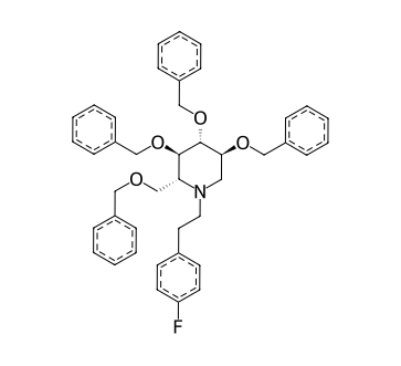 Fc1ccc(CCN2C[C@H](OCc3ccccc3)[C@@H](OCc3ccccc3)[C@H](OCc3ccccc3)[C@H]2COCc2ccccc2)cc1